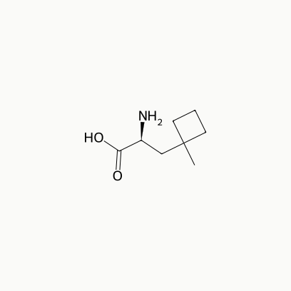 CC1(C[C@H](N)C(=O)O)CCC1